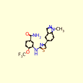 Cn1ncc2cc(-c3csc(Nc4cc(C(N)=O)ccc4OC(F)(F)F)n3)ccc21